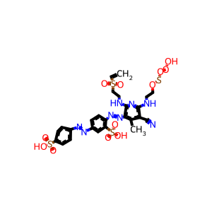 C=CS(=O)(=O)CCNc1nc(NCCOSOOO)c(C#N)c(C)c1/N=N/c1ccc(/N=N/c2ccc(S(=O)(=O)O)cc2)cc1S(=O)(=O)O